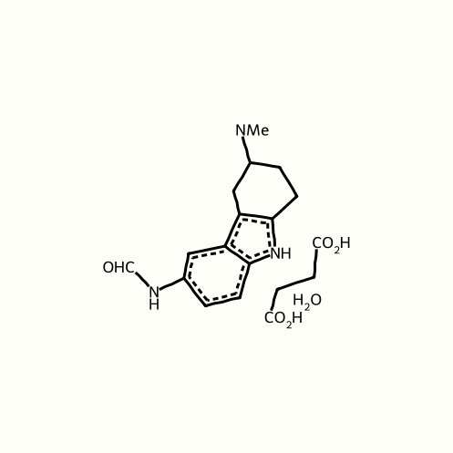 CNC1CCc2[nH]c3ccc(NC=O)cc3c2C1.O.O=C(O)CCC(=O)O